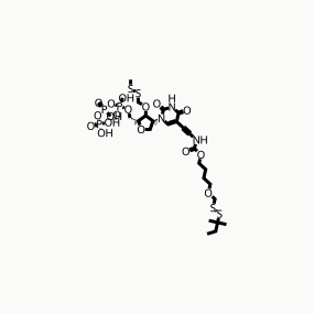 CCC(C)(C)SSCOCCCCOC(=O)NC#Cc1cn([C@@H]2CO[C@H](COP(=O)(O)OP(=O)(O)OP(=O)(O)O)C2OCSSC)c(=O)[nH]c1=O